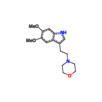 COc1cc2[nH]cc(CCN3CCOCC3)c2cc1OC